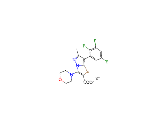 Cc1nn2c(N3CCOCC3)c(C(=O)[O-])sc2c1-c1cc(F)cc(F)c1F.[K+]